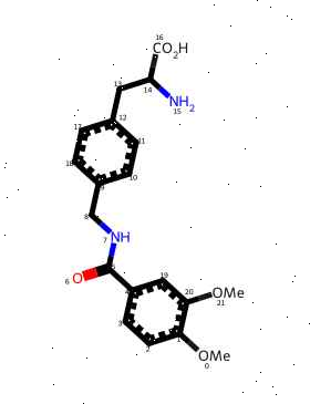 COc1ccc(C(=O)NCc2ccc(CC(N)C(=O)O)cc2)cc1OC